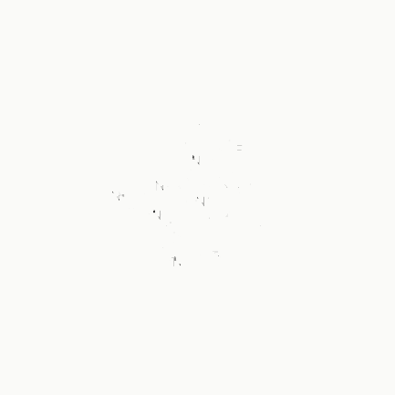 CC1CCC(Cn2c([C@@](C)(F)c3ncccc3F)cc3nc(C#N)nc(-c4cncc(Cl)c4)c32)CC1